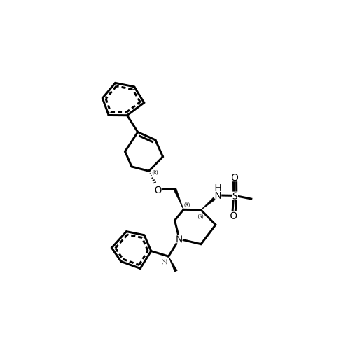 C[C@@H](c1ccccc1)N1CC[C@H](NS(C)(=O)=O)[C@H](CO[C@H]2CC=C(c3ccccc3)CC2)C1